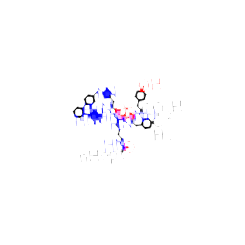 CCCCCCCC(=O)NCCCCC(NC(=O)C(N)Cc1cn(Cc2ccc(-c3ccccc3-c3nnn[nH]3)cc2)cn1)C(=O)NC(Cc1ccc(C)cc1)C(=O)NC(Cc1ccc(O)cc1)C(=O)O